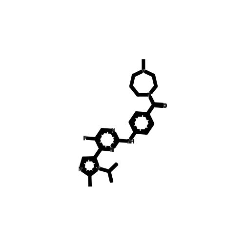 Cc1ncc(-c2nc(Nc3ccc(C(=O)N4CCCN(C)CC4)cc3)ncc2F)n1C(C)C